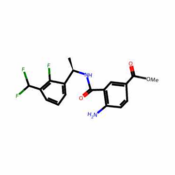 COC(=O)c1ccc(N)c(C(=O)N[C@H](C)c2cccc(C(F)F)c2F)c1